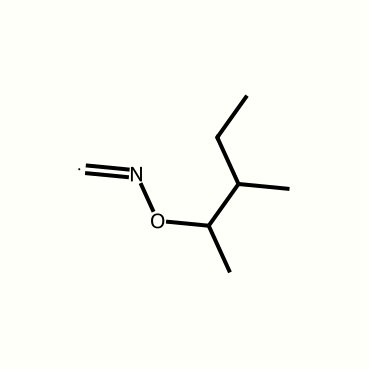 [CH]=NOC(C)C(C)CC